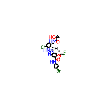 Cn1c(Nc2cc(CNC(=O)C3(O)CC3)ccc2Cl)nc2cc(C(=O)Nc3ccc(Br)cc3)c(OCC(F)F)cc21